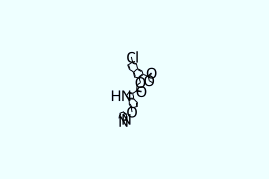 COC(=O)c1cc2cc(Cl)ccc2cc1OCC(=O)c1c[nH]c2cc(Oc3cccnn3)ccc12